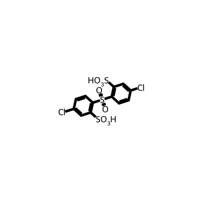 O=S(=O)(O)c1cc(Cl)ccc1S(=O)(=O)c1ccc(Cl)cc1S(=O)(=O)O